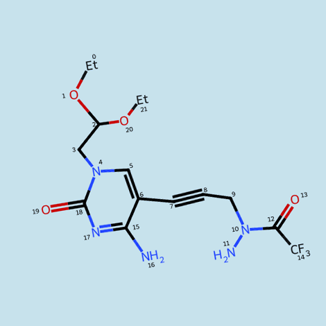 CCOC(Cn1cc(C#CCN(N)C(=O)C(F)(F)F)c(N)nc1=O)OCC